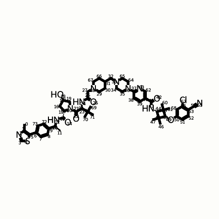 Cc1ncsc1-c1ccc([C@H](C)NC(=O)[C@@H]2C[C@@H](O)CN2C(=O)[C@@H](NC(=O)CN2CCC(CN3CCN(c4ccc(C(=O)N[C@H]5C(C)(C)[C@H](Oc6ccc(C#N)c(Cl)c6)C5(C)C)cn4)CC3)CC2)C(C)(C)C)cc1